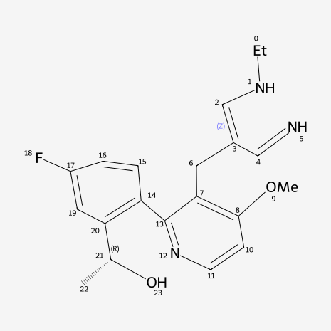 CCN/C=C(\C=N)Cc1c(OC)ccnc1-c1ccc(F)cc1[C@@H](C)O